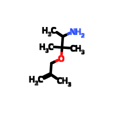 C=C(C)COC(C)(C)C(C)N